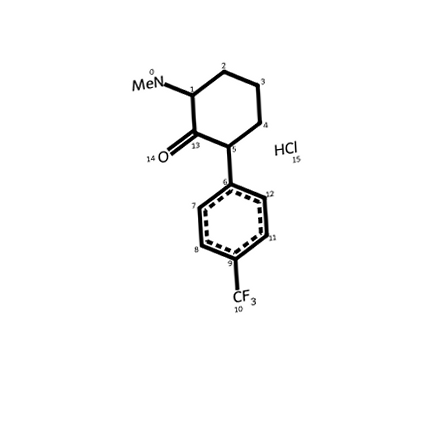 CNC1CCCC(c2ccc(C(F)(F)F)cc2)C1=O.Cl